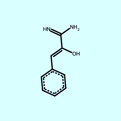 N=C(N)C(O)=Cc1ccccc1